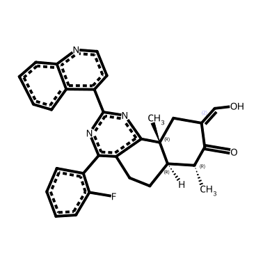 C[C@H]1C(=O)/C(=C\O)C[C@@]2(C)c3nc(-c4ccnc5ccccc45)nc(-c4ccccc4F)c3CC[C@H]12